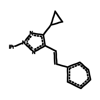 CC(C)n1nc(/C=C/c2ccccc2)c(C2CC2)n1